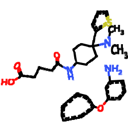 CN(C)C1(c2cccs2)CCC(NC(=O)CCCC(=O)O)CC1.Nc1cccc(Oc2ccccc2)c1